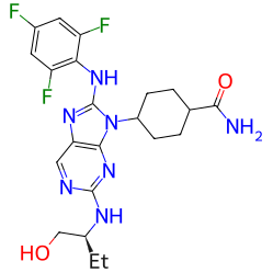 CC[C@@H](CO)Nc1ncc2nc(Nc3c(F)cc(F)cc3F)n(C3CCC(C(N)=O)CC3)c2n1